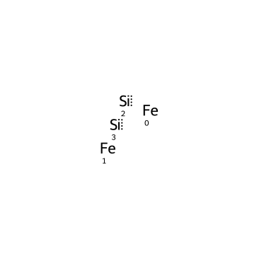 [Fe].[Fe].[Si].[Si]